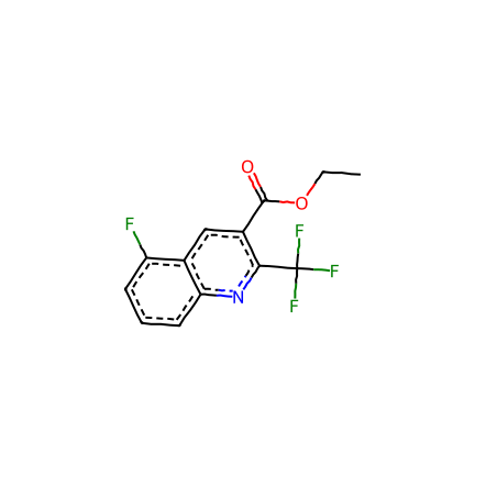 CCOC(=O)c1cc2c(F)cccc2nc1C(F)(F)F